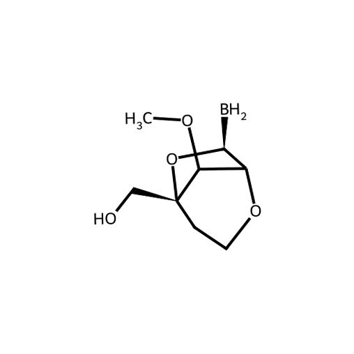 B[C@@H]1O[C@@]2(CO)CCOC1C2OC